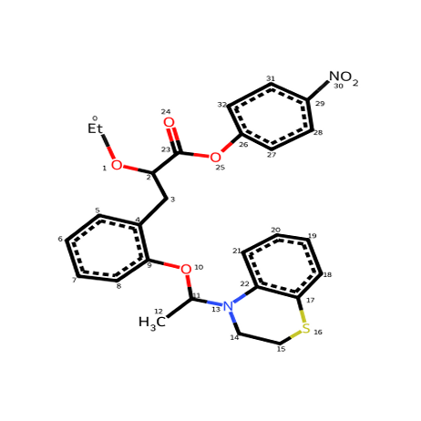 CCOC(Cc1ccccc1OC(C)N1CCSc2ccccc21)C(=O)Oc1ccc([N+](=O)[O-])cc1